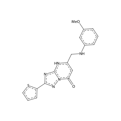 COc1cccc(NCc2cc(=O)n3nc(-c4cccs4)nc3[nH]2)c1